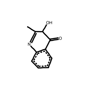 CC1=Nc2ccccc2C(=O)C1O